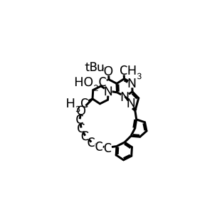 Cc1nc2cc3nn2c(c1[C@H](OC(C)(C)C)C(=O)O)N1CCC(C)(CC1)OCCCCCCc1ccccc1-c1cccc-3c1